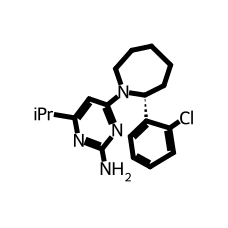 CC(C)c1cc(N2CCCCC[C@@H]2c2ccccc2Cl)nc(N)n1